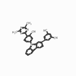 Cc1nc(C)nc(-c2ccc(-n3c4ccccc4c4ccc(-c5cc(C#N)cc(C#N)c5)cc43)cc2C#N)n1